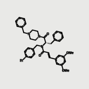 CCc1ccc(CN(C(=O)C=Cc2cc(OC)cc(OC)c2)[C@@H](Cc2ccccc2)C(=O)N2CCN(Cc3ccccc3)CC2)cc1